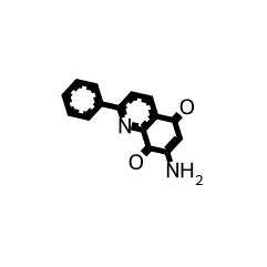 NC1=CC(=O)c2ccc(-c3ccccc3)nc2C1=O